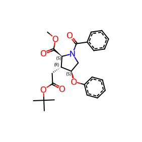 COC(=O)[C@@H]1[C@@H](CC(=O)OC(C)(C)C)[C@H](Oc2ccccc2)CN1C(=O)c1ccccc1